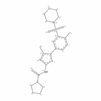 Cc1ccc(-c2sc(NC(=O)C3CCCC3)nc2C)cc1S(=O)(=O)N1CCOCC1